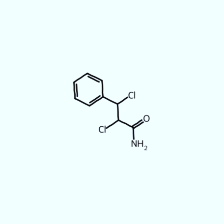 NC(=O)C(Cl)C(Cl)c1ccccc1